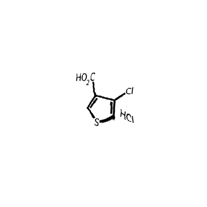 Cl.O=C(O)c1cscc1Cl